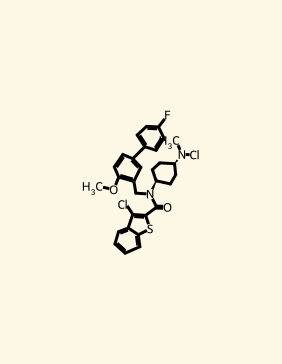 COc1ccc(-c2ccc(F)cc2)cc1CN(C(=O)c1sc2ccccc2c1Cl)[C@H]1CC[C@H](N(C)Cl)CC1